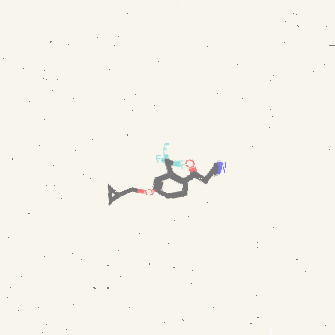 N#CCC(=O)c1ccc(OCC2CC2)cc1C(F)(F)F